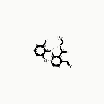 CCOC(=O)c1c(C=O)ccnc1Oc1c(F)cccc1Cl